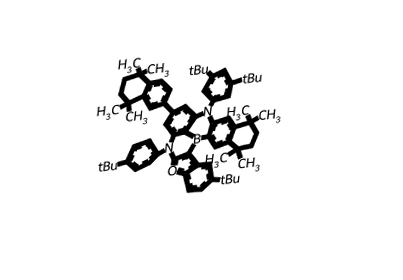 CC(C)(C)c1ccc(N2c3cc(-c4ccc5c(c4)C(C)(C)CCC5(C)C)cc4c3B(c3cc5c(cc3N4c3cc(C(C)(C)C)cc(C(C)(C)C)c3)C(C)(C)CCC5(C)C)c3c2oc2ccc(C(C)(C)C)cc32)cc1